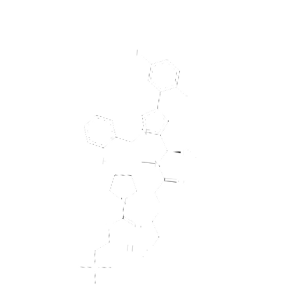 CC(C)(C)[C@H](c1cc(-c2cc(F)ccc2F)cn1Cc1ccccc1)N(C[C@@H]1CN(C(=O)OCCS(C)(C)C)C[C@@H]1F)C(=O)CSCCC(=O)O